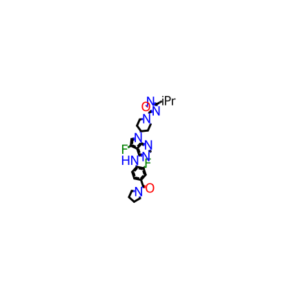 CC(C)c1noc(N2CCC(n3cc(F)c4c(Nc5ccc(C(=O)N6CCCC6)cc5F)ncnc43)CC2)n1